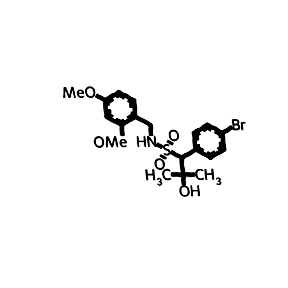 COc1ccc(CNS(=O)(=O)C(c2ccc(Br)cc2)C(C)(C)O)c(OC)c1